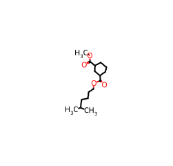 COC(=O)C1CCCC(C(=O)OCCCCC(C)C)C1